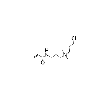 C=CC(=O)NCCC[N+](C)(C)CCCCl